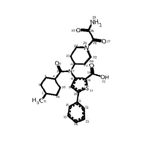 CC1CCC(C(=O)N(c2cc(-c3ccccc3)sc2C(=O)O)C2CCN(C(=O)C(N)=O)CC2)CC1